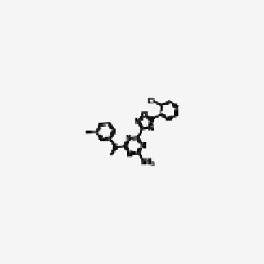 Cc1cccc(N(C)c2nc(N)nc(-c3noc(-c4ccccc4Cl)n3)n2)c1